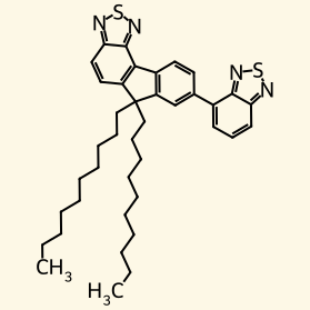 CCCCCCCCCCC1(CCCCCCCCCC)c2cc(-c3cccc4nsnc34)ccc2-c2c1ccc1nsnc21